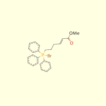 COC(=O)/C=C/CCCP(Br)(c1ccccc1)(c1ccccc1)c1ccccc1